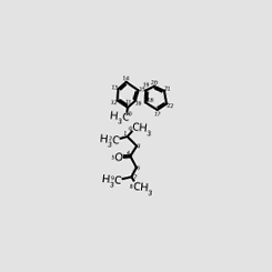 CC(C)CC(=O)CC(C)C.Cc1ccccc1.c1ccccc1